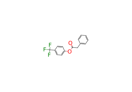 O=C(Cc1ccccc1)Oc1ccc(C(F)(F)F)cc1